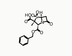 C[C@]1(C(=O)O)[C@H](C(=O)OCc2ccccc2)N2C(=O)C[C@H]2S1(=O)=O